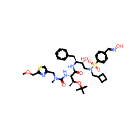 COCc1nc(CN(C)C(=O)N[C@H](C(=O)N[C@@H](Cc2ccccc2)[C@H](O)CN(CC2CCC2)S(=O)(=O)c2ccc(C=NO)cc2)[C@H](C)OC(C)(C)C)cs1